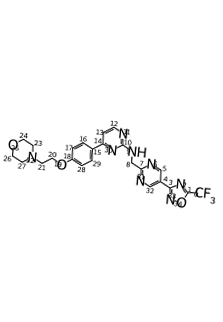 FC(F)(F)c1nc(-c2cnc(CNc3nccc(-c4ccc(OCCN5CCOCC5)cc4)n3)nc2)no1